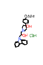 COc1ccc(C2(O)CCN(CC(O)Cn3c4ccccc4c4ccccc43)CC2)cc1.Cl